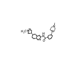 Cn1cc(-c2ccc3cnc(NC(=O)c4cccc(N5CCN(I)CC5)c4)cc3c2)cn1